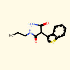 N#CCCNC(=O)C(C(N)=O)c1csc2ccccc12